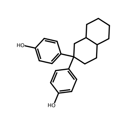 Oc1ccc(C2(c3ccc(O)cc3)CCC3CCCCC3C2)cc1